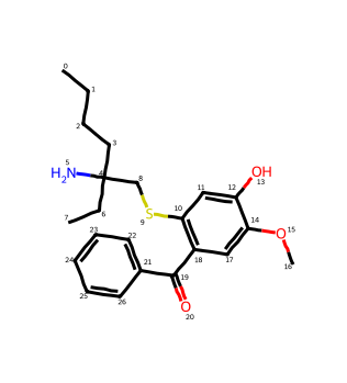 CCCCC(N)(CC)CSc1cc(O)c(OC)cc1C(=O)c1ccccc1